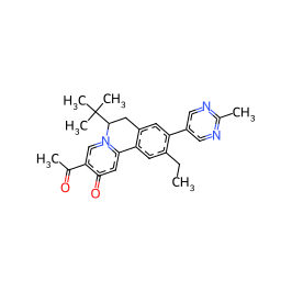 CCc1cc2c(cc1-c1cnc(C)nc1)CC(C(C)(C)C)n1cc(C(C)=O)c(=O)cc1-2